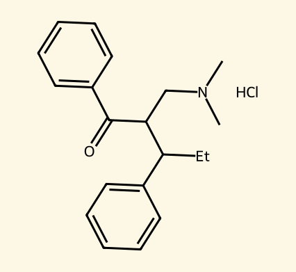 CCC(c1ccccc1)C(CN(C)C)C(=O)c1ccccc1.Cl